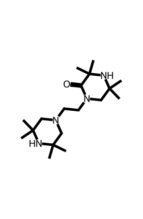 CC1(C)CN(CCN2CC(C)(C)NC(C)(C)C2=O)CC(C)(C)N1